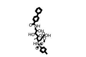 CO[C@]1(C(=O)O)C[C@@H](NS(=O)(=O)c2ccc(C)cc2)[C@@H](C)C([C@H](O)[C@H](O)CNC(=O)c2ccc(-c3ccccc3)cc2)O1